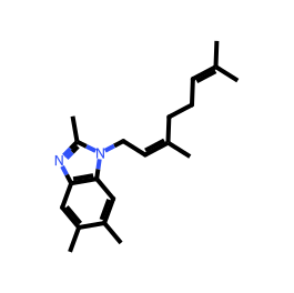 CC(C)=CCCC(C)=CCn1c(C)nc2cc(C)c(C)cc21